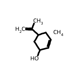 C.C=C(C)C1CC=CC(O)C1